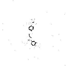 CN(C)C(=O)Nc1ccc(OCC2CN(c3ccc(C#N)c(C(F)(F)F)c3)C(C(F)(F)F)O2)cc1